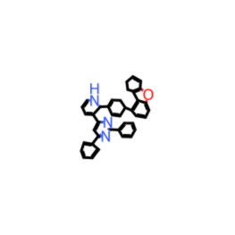 C1=CNC(C2=CCC(c3cccc4oc5c(c34)CCC=C5)C=C2)C(c2cc(-c3ccccc3)nc(-c3ccccc3)n2)=C1